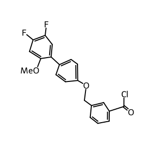 COc1cc(F)c(F)cc1-c1ccc(OCc2cccc(C(=O)Cl)c2)cc1